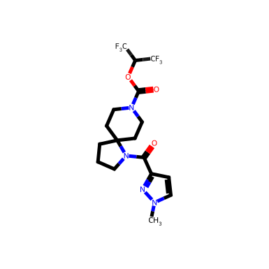 Cn1ccc(C(=O)N2CCCC23CCN(C(=O)OC(C(F)(F)F)C(F)(F)F)CC3)n1